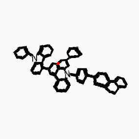 c1ccc(-c2cccc(N(c3ccc(-c4ccc5c(ccc6ccccc65)c4)cc3)c3ccccc3-c3cccc(-c4cccc5c4c4ccccc4n5-c4ccccc4)c3)c2)cc1